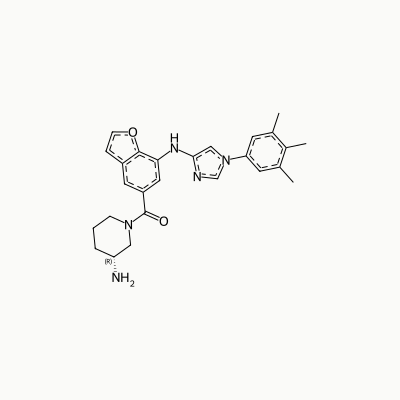 Cc1cc(-n2cnc(Nc3cc(C(=O)N4CCC[C@@H](N)C4)cc4ccoc34)c2)cc(C)c1C